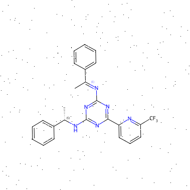 C/C(=N\c1nc(N[C@@H](C)c2ccccc2)nc(-c2cccc(C(F)(F)F)n2)n1)c1ccccc1